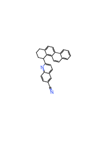 N#Cc1ccc2nc(C3CCCc4ccc5c(ccc6ccccc65)c43)ccc2c1